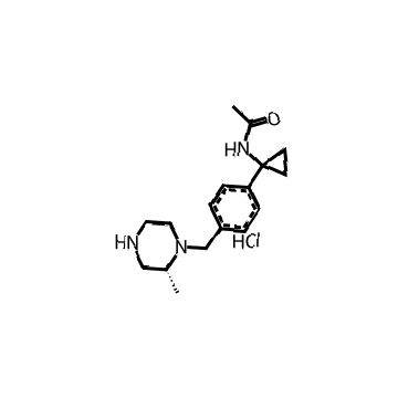 CC(=O)NC1(c2ccc(CN3CCNC[C@H]3C)cc2)CC1.Cl